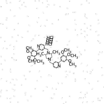 COc1cc(-c2cc(CN3CC(C)N(Cc4ccnc(-c5cc(OC)c(OC)c(OC)c5)c4)C(C)C3)ccn2)cc(OC)c1OC.Cl.Cl.Cl.Cl